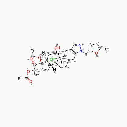 CCC(=O)OCC(=O)[C@@]1(OC(=O)CC)[C@@H](C)C[C@H]2[C@@H]3CCC4=Cc5c(cnn5Cc5ccc(CC)o5)C[C@]4(C)[C@@]3(Cl)[C@@H](O)C[C@@]21C